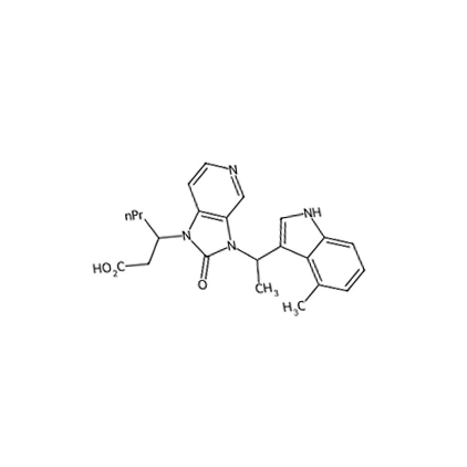 CCCC(CC(=O)O)n1c(=O)n(C(C)c2c[nH]c3cccc(C)c23)c2cnccc21